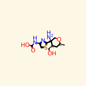 C[C@H]1C[C@@H](CO)[C@](N)(c2nc(NC(=O)O)cs2)CO1